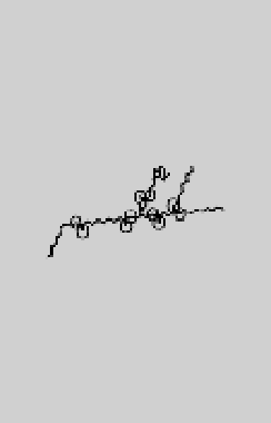 CCCCCC/C=C\COC(=O)CCCCCCCC(=O)OCC(COC(=O)CCC(OCCCCCCCC)OCCCCCCCC)COC(=O)OCCCN(CC)CC